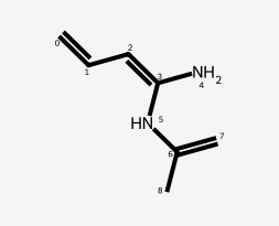 C=C/C=C(/N)NC(=C)C